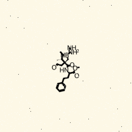 CC[C@@H](C)[C@@](CBNN)(CC=O)C(=O)NC(CCc1ccccc1)C(=O)OC